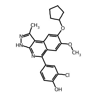 COc1cc2c(-c3ccc(O)c(Cl)c3)nc3[nH]nc(C)c3c2cc1OC1CCCC1